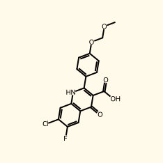 COCOc1ccc(-c2[nH]c3cc(Cl)c(F)cc3c(=O)c2C(=O)O)cc1